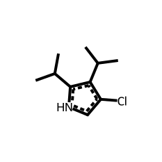 CC(C)c1[nH]cc(Cl)c1C(C)C